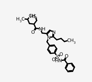 CCCCc1ncc(CNC(=O)C(CS)CC(C)C)n1Cc1ccc(S(=O)(=O)NC(=O)c2ccccc2)cc1